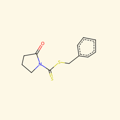 O=C1CCCN1C(=S)SCc1ccccc1